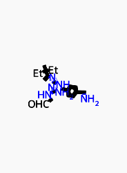 C=C(/N=C(\N=C(/N)NCC=O)NCc1ccc(CN)cc1)C(C)(CC)CC